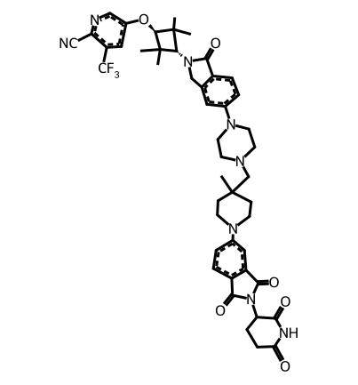 CC1(CN2CCN(c3ccc4c(c3)CN([C@H]3C(C)(C)[C@H](Oc5cnc(C#N)c(C(F)(F)F)c5)C3(C)C)C4=O)CC2)CCN(c2ccc3c(c2)C(=O)N(C2CCC(=O)NC2=O)C3=O)CC1